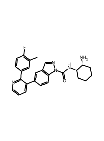 Cc1cc(-c2ncccc2-c2ccc3c(cnn3C(=O)N[C@@H]3CCCC[C@H]3N)c2)ccc1F